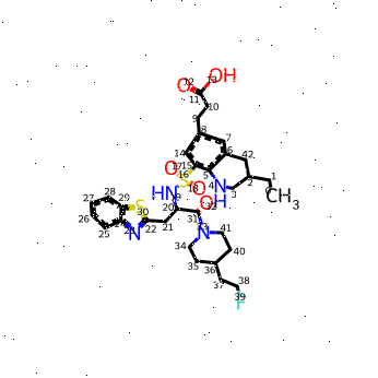 CCC1CNc2c(cc(CCC(=O)O)cc2S(=O)(=O)NC(Cc2nc3ccccc3s2)C(=O)N2CCC(CCF)CC2)C1